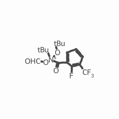 CC(C)(C)O[N+](OC=O)(C(=O)c1cccc(C(F)(F)F)c1F)C(C)(C)C